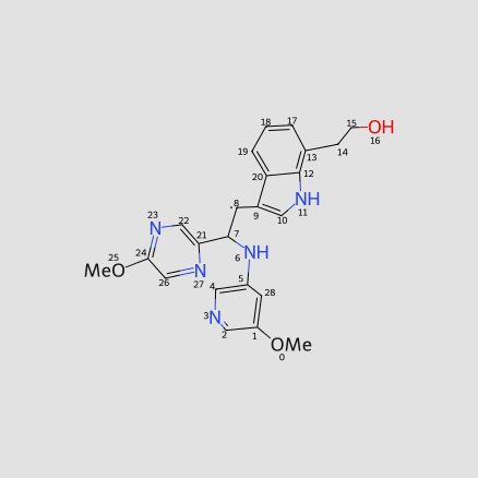 COc1cncc(NC([CH]c2c[nH]c3c(CCO)cccc23)c2cnc(OC)cn2)c1